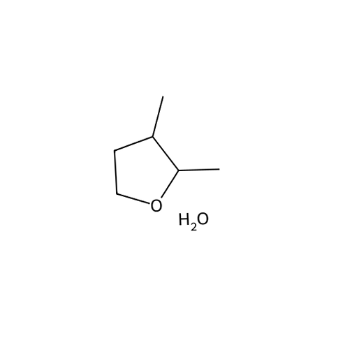 CC1CCOC1C.O